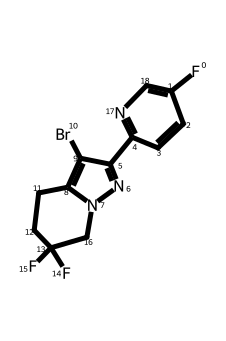 Fc1ccc(-c2nn3c(c2Br)CCC(F)(F)C3)nc1